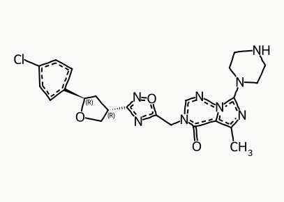 Cc1nc(N2CCNCC2)n2ncn(Cc3nc([C@@H]4CO[C@@H](c5ccc(Cl)cc5)C4)no3)c(=O)c12